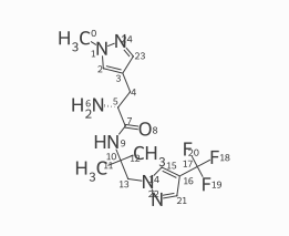 Cn1cc(C[C@@H](N)C(=O)NC(C)(C)Cn2cc(C(F)(F)F)cn2)cn1